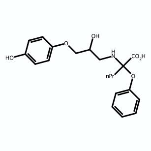 CCCC(NCC(O)COc1ccc(O)cc1)(Oc1ccccc1)C(=O)O